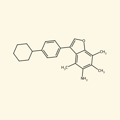 Cc1c(N)c(C)c2c(-c3ccc(C4CCCCC4)cc3)coc2c1C